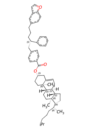 CC(C)CCC[C@@H](C)[C@H]1CC[C@H]2[C@@H]3CC=C4C[C@@H](OC(=O)c5ccc(C[C@H](CCCc6ccc7occc7c6)c6ccccc6)cc5)CC[C@]4(C)[C@H]3CC[C@]12C